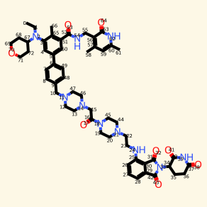 CCN(c1cc(-c2ccc(CN3CCN(CC(=O)N4CCN(CCNc5cccc6c5C(=O)N(C5CCC(=O)NC5=O)C6=O)CC4)CC3)cc2)cc(C(=O)NCc2c(C)cc(C)[nH]c2=O)c1C)C1CCOCC1